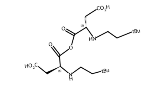 CC(C)(C)CCN[C@@H](CC(=O)O)C(=O)OC(=O)[C@H](CC(=O)O)NCCC(C)(C)C